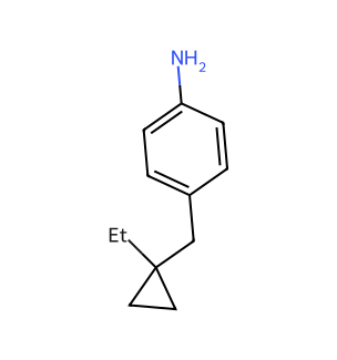 CCC1(Cc2ccc(N)cc2)CC1